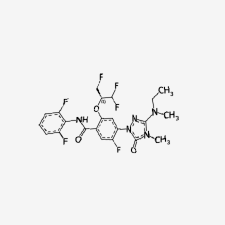 CCN(C)c1nn(-c2cc(O[C@@H](CF)C(F)F)c(C(=O)Nc3c(F)cccc3F)cc2F)c(=O)n1C